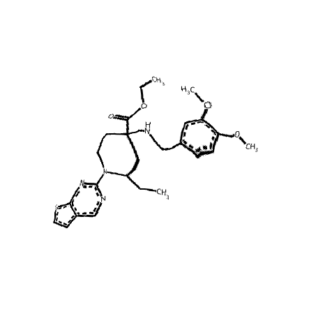 CCOC(=O)C1(NCc2ccc(OC)c(OC)c2)CCN(c2ncc3ccsc3n2)C(CC)C1